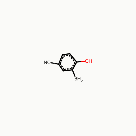 Bc1cc(C#N)ccc1O